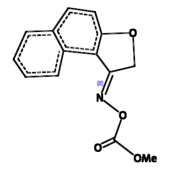 COC(=O)O/N=C1\COc2ccc3ccccc3c21